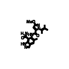 COc1cc(C(=O)Nc2c(C)cc3cn[nH]c3c2C(N)=O)n(C(C)=C(C)C)n1